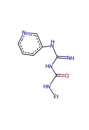 CCNC(=O)NC(=N)Nc1cccnc1